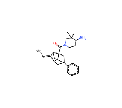 CCC/C=C1/C2CC3(c4ccccc4)CC1C(C(=O)N1CC[C@H](N)C(C)(C)C1)(C2)C3